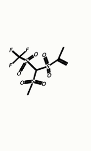 C=C(C)S(=O)(=O)C(S(C)(=O)=O)S(=O)(=O)C(F)(F)F